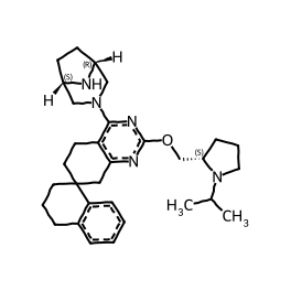 CC(C)N1CCC[C@H]1COc1nc2c(c(N3C[C@H]4CC[C@@H](C3)N4)n1)CCC1(CCCc3ccccc31)C2